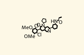 C=CC(=O)Nc1cccc(-c2cc3c(cn2)cc(-c2c(Cl)c(OC)cc(OC)c2Cl)c(=O)n3C2CCCC2)c1